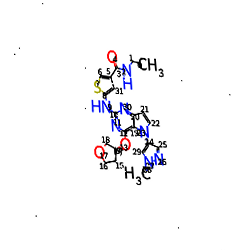 CCNC(=O)c1csc(Nc2nc(O[C@H]3CCOC3)c3c(ccn3-c3cnn(C)c3)n2)c1